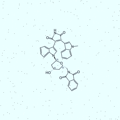 Cn1cc(C2=C(c3cn([C@@H]4C[C@@H](O)C[C@@H](CN5C(=O)c6ccccc6C5=O)O4)c4ccccc34)C(=O)NC2=O)c2ccccc21